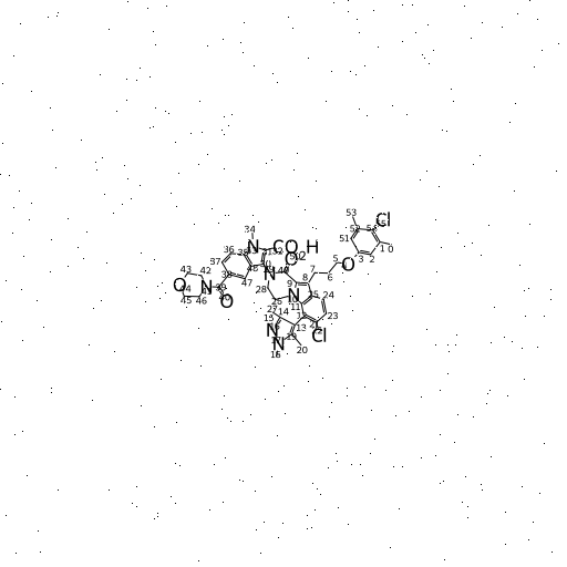 Cc1cc(OCCCc2c3n(c4c(-c5c(C)nn(C)c5C)c(Cl)ccc24)[C@H](C)CN(c2c(C(=O)O)n(C)c4ccc(C(=O)N5CCOCC5)cc24)C3=O)cc(C)c1Cl